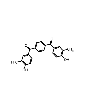 Cc1cc(C(=O)c2ccc(C(=O)c3ccc(O)c(C)c3)cc2)ccc1O